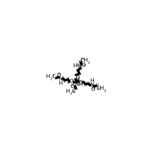 C=CC(=O)NCCCCOCC(COCCCCNC(=O)C=C)(COCCCCNC(=O)C=C)NC(=O)CC